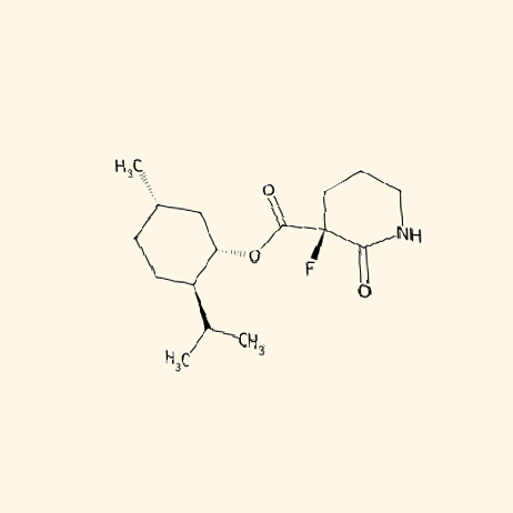 CC(C)[C@H]1CC[C@H](C)C[C@@H]1OC(=O)[C@]1(F)CCCNC1=O